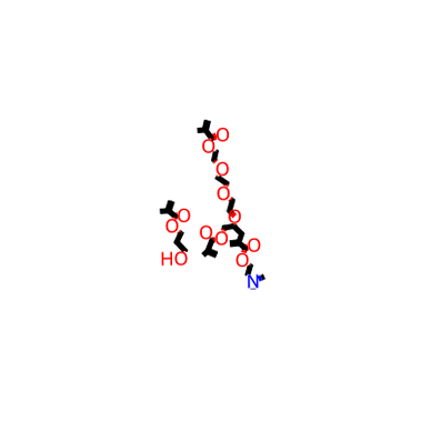 C=C(C)C(=O)OCCCO.C=C(C)C(=O)OCCOCCOCCOC(COC(=O)C(=C)C)CC(=C)C(=O)OCCN(C)C